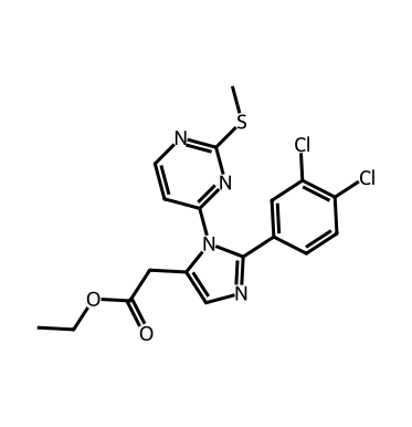 CCOC(=O)Cc1cnc(-c2ccc(Cl)c(Cl)c2)n1-c1ccnc(SC)n1